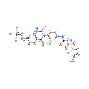 O=C(Nc1ccc(-n2c(=O)[nH]c3cc(NCC(F)(F)F)ccc3c2=O)c(F)c1)NS(=O)(=O)c1ccc(Cl)s1